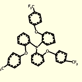 FC(F)(F)c1ccc(Oc2ccccc2P(c2ccccc2Oc2ccc(C(F)(F)F)cc2)c2ccccc2Oc2ccc(C(F)(F)F)cc2)cc1